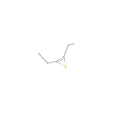 CCC1=C(CC)S1